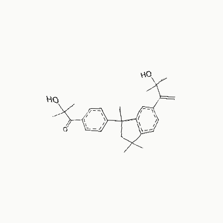 C=C(c1ccc2c(c1)C(C)(c1ccc(C(=O)C(C)(C)O)cc1)CC2(C)C)C(C)(C)O